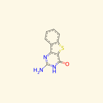 Nc1nc2c(sc3ccccc32)c(=O)[nH]1